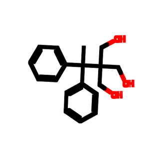 CC(c1ccccc1)(c1ccccc1)C(CO)(CO)CO